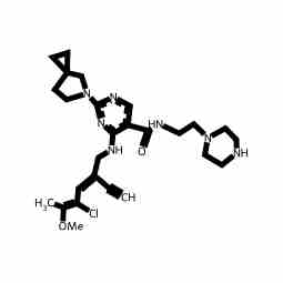 C#C/C(=C\C(Cl)=C(/C)OC)CNc1nc(N2CCC3(CC3)C2)ncc1C(=O)NCCN1CCNCC1